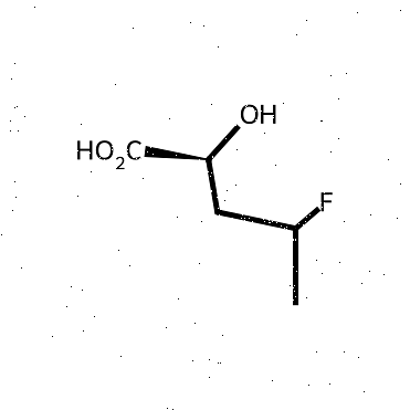 CC(F)C[C@H](O)C(=O)O